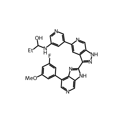 CCC(O)Nc1cncc(-c2cc3c(-c4nc5c(-c6cc(F)cc(OC)c6)cncc5[nH]4)n[nH]c3cn2)c1